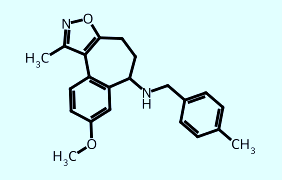 COc1ccc2c(c1)C(NCc1ccc(C)cc1)CCc1onc(C)c1-2